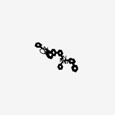 c1ccc(-c2cccc(C3=NC(c4cccc(-c5ccc6c(ccc7oc(-c8ccccc8)nc76)c5)c4)=NC(c4ccccc4)N3)c2)cc1